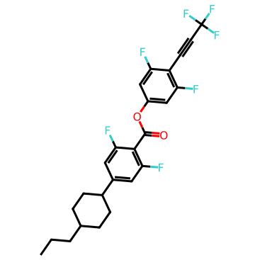 CCCC1CCC(c2cc(F)c(C(=O)Oc3cc(F)c(C#CC(F)(F)F)c(F)c3)c(F)c2)CC1